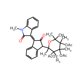 CC(=O)OC1(C)C(C)(C)OC(C)(C2C(=O)/C(=C3/C(=O)N(C)c4ccccc43)c3ccccc32)C(C)(OC(C)=O)C1(C)OC(C)=O